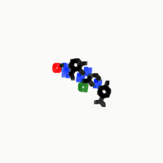 Cc1ccc(C(C)C)cc1N1CCc2nc(-c3c(C)ccc4c3c(C)nn4C=O)nc(Cl)c2C1